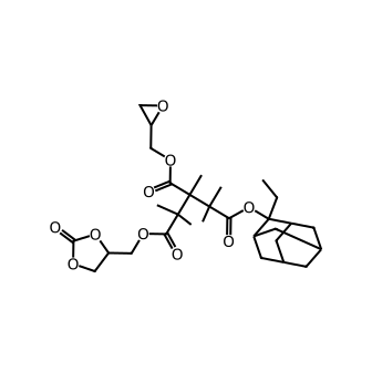 CCC1(OC(=O)C(C)(C)C(C)(C(=O)OCC2CO2)C(C)(C)C(=O)OCC2COC(=O)O2)C2CC3CC(C2)CC1C3